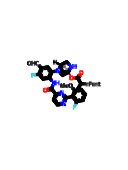 CCCCCC(C)C(=O)O[C@]12C[C@@H](CN1)N(c1cc(C=O)c(F)cc1NC(=O)c1ccnc(-c3c(F)cccc3OC)n1)C2